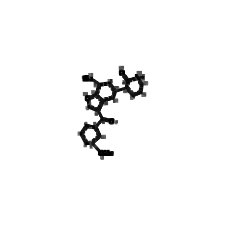 COc1cccc(C(=O)c2coc3c(C(C)(C)C)cc(-c4ccc[nH]c4=O)cc23)c1